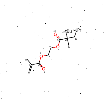 C=C(C)C(=O)OCCOC(=O)C(C)(CC(C)C)C(C)(C)C